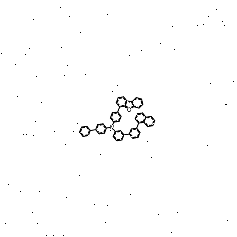 c1ccc(-c2ccc(N(c3ccc(-c4cccc5c4oc4ccccc45)cc3)c3cccc(-c4cccc(-c5cccc6ccccc56)c4)c3)cc2)cc1